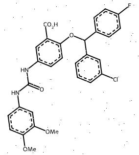 COc1ccc(NC(=O)Nc2ccc(OC(c3ccc(F)cc3)c3cccc(Cl)c3)c(C(=O)O)c2)cc1OC